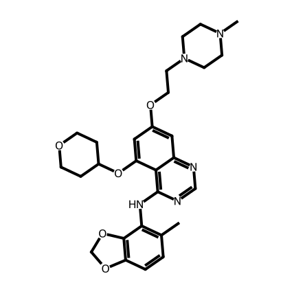 Cc1ccc2c(c1Nc1ncnc3cc(OCCN4CCN(C)CC4)cc(OC4CCOCC4)c13)OCO2